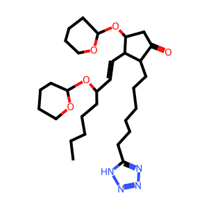 CCCCCC(C=CC1C(OC2CCCCO2)CC(=O)C1CCCCCCc1nnn[nH]1)OC1CCCCO1